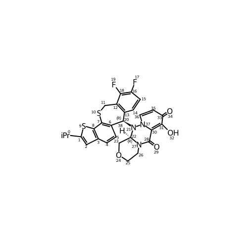 CC(C)c1cc2ccc3c(c2s1)SCc1c(ccc(F)c1F)[C@H]3N1[C@@H]2COCCN2C(=O)c2c(O)c(=O)ccn21